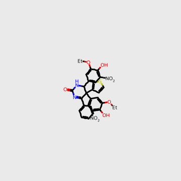 CCOc1cc(C2NC(=O)N=C(c3ccccc3)C2(c2ccsc2)c2cc(OCC)c(O)c([N+](=O)[O-])c2)cc([N+](=O)[O-])c1O